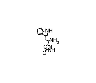 NC(Cc1c[nH]c2ccccc12)c1n[nH]c(=O)o1